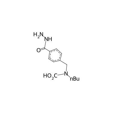 CCCCN(Cc1ccc(C(=O)NN)cc1)C(=O)O